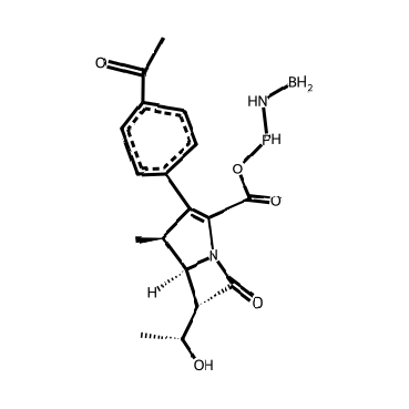 BNPOC(=O)C1=C(c2ccc(C(C)=O)cc2)[C@H](C)[C@@H]2[C@@H]([C@@H](C)O)C(=O)N12